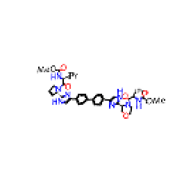 COC(=O)NC(C(=O)N1CCOC[C@H]1c1nc(-c2ccc(-c3ccc(-c4c[nH]c([C@@H]5C=CCN5C(=O)[C@@H](NC(=O)OC)C(C)C)n4)cc3)cc2)c[nH]1)C(C)C